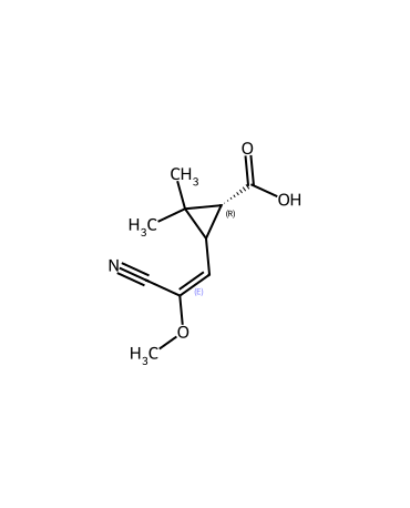 CO/C(C#N)=C/C1[C@@H](C(=O)O)C1(C)C